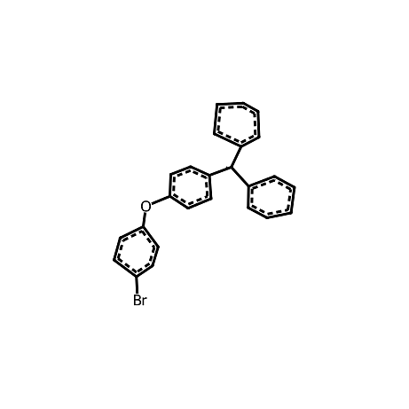 Brc1ccc(Oc2ccc([C](c3ccccc3)c3ccccc3)cc2)cc1